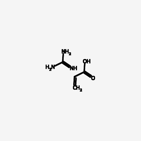 C=CC(=O)O.N=C(N)N